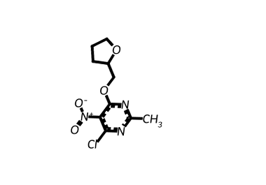 Cc1nc(Cl)c([N+](=O)[O-])c(OCC2CCCO2)n1